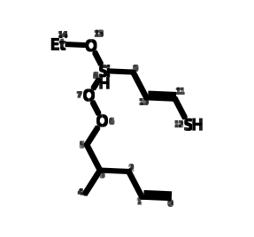 C=CCC(C)COO[SiH](CC=CS)OCC